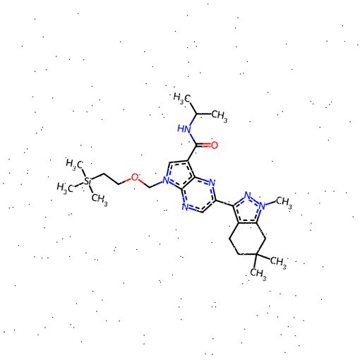 CC(C)NC(=O)c1cn(COCC[Si](C)(C)C)c2ncc(-c3nn(C)c4c3CCC(C)(C)C4)nc12